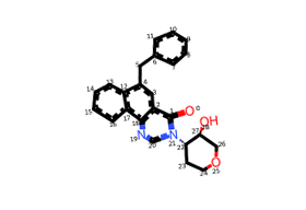 O=c1c2cc(Cc3ccccc3)c3ccccc3c2ncn1[C@H]1CCOC[C@@H]1O